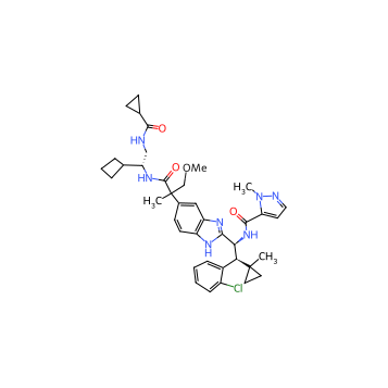 COCC(C)(C(=O)N[C@@H](CNC(=O)C1CC1)C1CCC1)c1ccc2[nH]c([C@@H](NC(=O)c3ccnn3C)[C@H](c3ccccc3Cl)C3(C)CC3)nc2c1